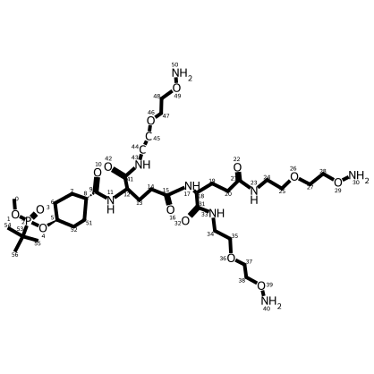 COP(=O)(O[C@H]1CC[C@H](C(=O)NC(CCC(=O)NC(CCC(=O)NCCOCCON)C(=O)NCCOCCON)C(=O)NCCOCCON)CC1)C(C)(C)C